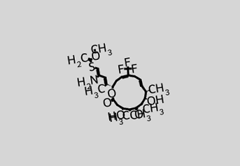 C=C(OC)S/C=C(N)/C=C(\C)[C@@H]1C/C=C(/C(F)(F)F)C/C=C/[C@H](C)[C@H](O)[C@@H](C)C(=O)C(C)(C)[C@@H](O)CC(=O)O1